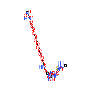 O=C(O)C[C@H](NC(=O)CNC(=O)c1csc(NC(=O)NCc2ccccc2)n1)C(=O)Nc1ccc(OCCCNC(=O)CCOCCOCCOCCOCCOCCOCCOCCOCCOCCOCCOCCOCCNC(=O)CCN2C(=O)C=CC2=O)cc1